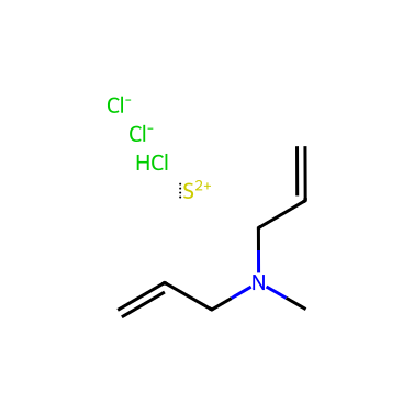 C=CCN(C)CC=C.Cl.[Cl-].[Cl-].[S+2]